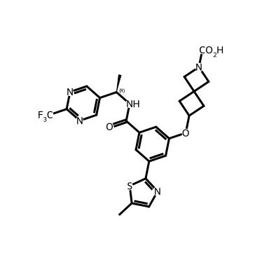 Cc1cnc(-c2cc(OC3CC4(C3)CN(C(=O)O)C4)cc(C(=O)N[C@H](C)c3cnc(C(F)(F)F)nc3)c2)s1